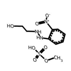 COS(=O)(=O)O.O=[N+]([O-])c1ccccc1NNCCO